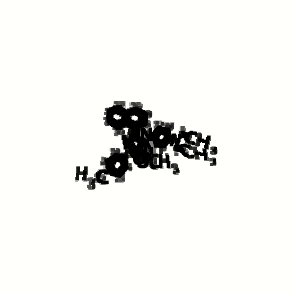 CCN(CC)c1ccc(NC2(NC(C)=O)C(=O)N(c3ccc(C)cc3)N=C2c2cccc3ccccc23)cc1